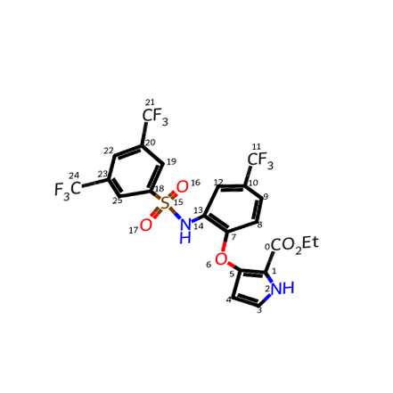 CCOC(=O)c1[nH]ccc1Oc1ccc(C(F)(F)F)cc1NS(=O)(=O)c1cc(C(F)(F)F)cc(C(F)(F)F)c1